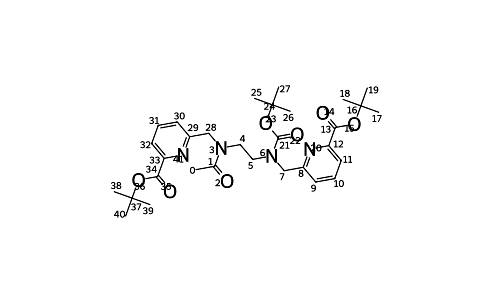 CC(=O)N(CCN(Cc1cccc(C(=O)OC(C)(C)C)n1)C(=O)OC(C)(C)C)Cc1cccc(C(=O)OC(C)(C)C)n1